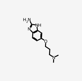 CN(C)CCCOc1ccc2nc(N)[nH]c2c1